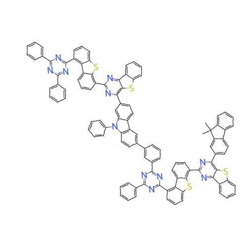 CC1(C)c2ccccc2-c2ccc(-c3nc(-c4cccc5c4sc4cccc(-c6nc(-c7ccccc7)nc(-c7cccc(-c8ccc9c(c8)c8ccc(-c%10nc(-c%11cccc%12c%11sc%11cccc(-c%13nc(-c%14ccccc%14)nc(-c%14ccccc%14)n%13)c%11%12)nc%11c%10sc%10ccccc%10%11)cc8n9-c8ccccc8)c7)n6)c45)nc4c3sc3ccccc34)cc21